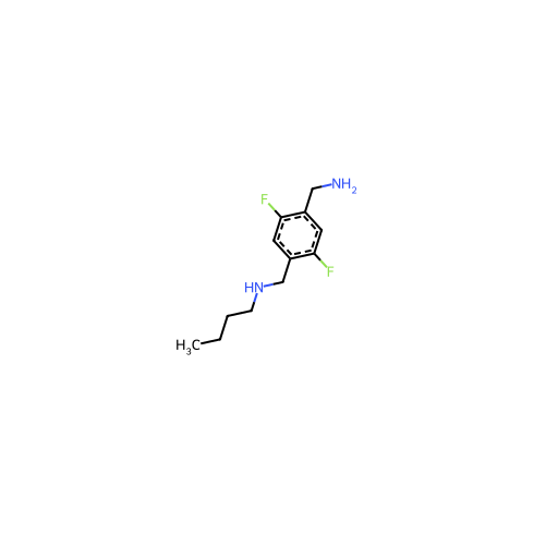 CCCCNCc1cc(F)c(CN)cc1F